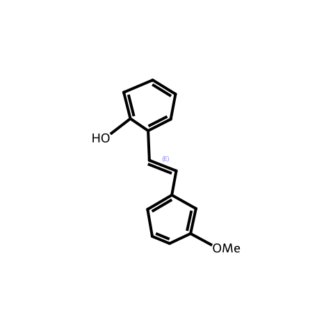 COc1cccc(/C=C/c2ccccc2O)c1